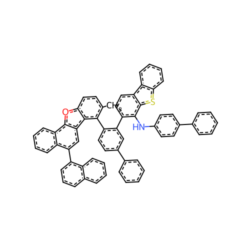 Cc1ccc2oc3c4ccccc4c(-c4cccc5ccccc45)cc3c2c1-c1ccc(-c2ccccc2)cc1-c1ccc2c(sc3ccccc32)c1Nc1ccc(-c2ccccc2)cc1